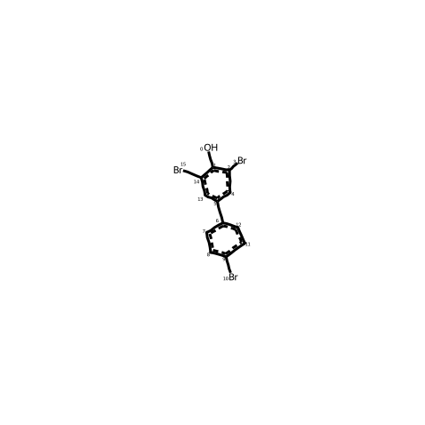 Oc1c(Br)cc(-c2ccc(Br)cc2)cc1Br